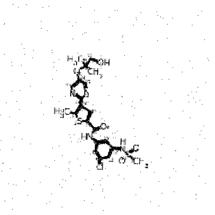 Cc1sc(C(=O)Nc2cc(Cl)cc(NS(C)(=O)=O)c2)cc1-c1ncc(OC(C)(C)CO)cn1